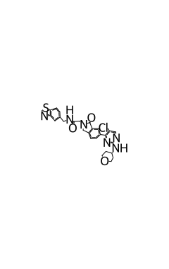 O=C(CN1Cc2ccc(-c3nc(NC4CCOCC4)ncc3Cl)cc2C1=O)NCc1ccc2scnc2c1